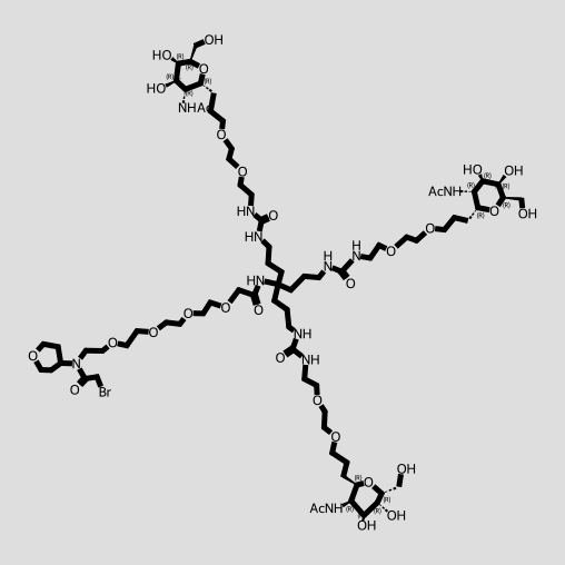 CC(=O)N[C@@H]1[C@@H](O)[C@@H](O)[C@@H](CO)O[C@@H]1CCCOCCOCCNC(=O)NCCCC(CCCNC(=O)NCCOCCOCCC[C@H]1O[C@H](CO)[C@H](O)[C@H](O)[C@H]1NC(C)=O)(CCCNC(=O)NCCOCCOCCC[C@H]1O[C@H](CO)[C@H](O)[C@H](O)[C@H]1NC(C)=O)NC(=O)COCCOCCOCCOCCN(C(=O)CBr)C1CCOCC1